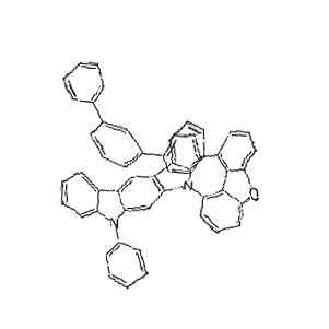 c1ccc(-c2cccc(-c3ccc(-c4cccc5oc6cccc(-n7c8ccccc8c8cc9c%10ccccc%10n(-c%10ccccc%10)c9cc87)c6c45)cc3)c2)cc1